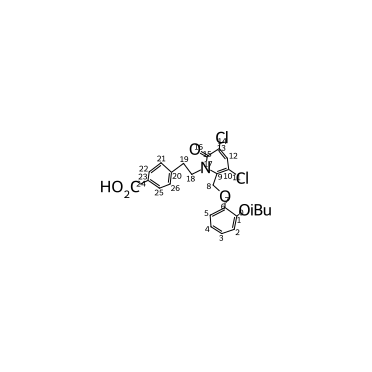 CC(C)COc1ccccc1OCc1c(Cl)cc(Cl)c(=O)n1CCc1ccc(C(=O)O)cc1